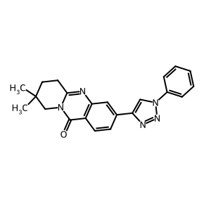 CC1(C)CCc2nc3cc(-c4cn(-c5ccccc5)nn4)ccc3c(=O)n2C1